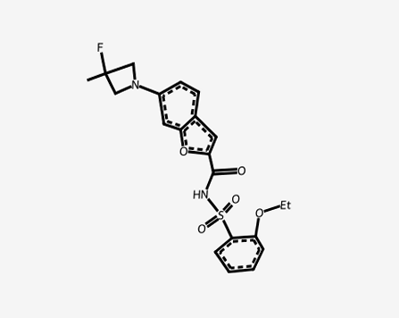 CCOc1ccccc1S(=O)(=O)NC(=O)c1cc2ccc(N3CC(C)(F)C3)cc2o1